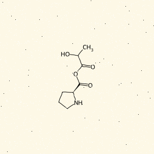 CC(O)C(=O)OC(=O)[C@@H]1CCCN1